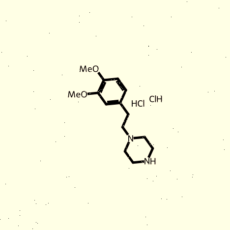 COc1ccc(CCN2CCNCC2)cc1OC.Cl.Cl